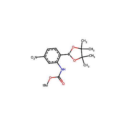 CC(C)(C)OC(=O)Nc1cc([N+](=O)[O-])ccc1B1OC(C)(C)C(C)(C)O1